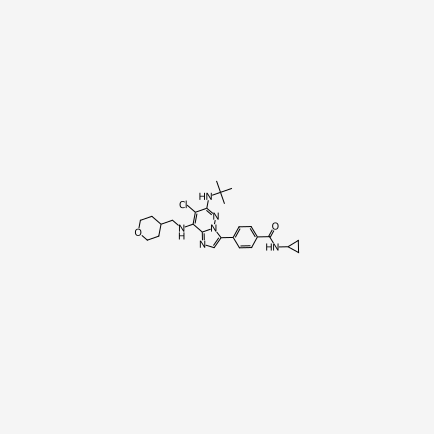 CC(C)(C)Nc1nn2c(-c3ccc(C(=O)NC4CC4)cc3)cnc2c(NCC2CCOCC2)c1Cl